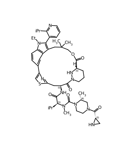 CCn1c(-c2cccnc2C(C)C)c2c3cc(ccc31)-c1csc(n1)C[C@H](NC(=O)[C@H](C(C)C)N(C)C(=O)N1CCN(C(=O)[C@@H]3CN3)C[C@H]1C)C(=O)N1CCC[C@H](N1)C(=O)OCC(C)(C)C2